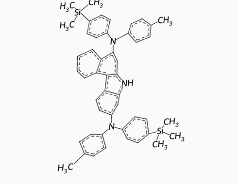 Cc1ccc(N(c2ccc([Si](C)(C)C)cc2)c2ccc3c(c2)[nH]c2cc(N(c4ccc(C)cc4)c4ccc([Si](C)(C)C)cc4)c4ccccc4c23)cc1